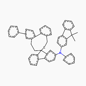 CC1(C)c2ccccc2-c2ccc(N(c3ccccc3)c3ccc4c(c3)C3(CCc5ccccc5-c5ccc(-c6ccccc6)cc5CC3)c3ccccc3-4)cc21